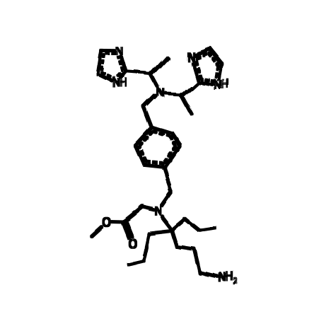 CCCC(CCC)(CCCN)N(CC(=O)OC)Cc1ccc(CN(C(C)c2ncc[nH]2)C(C)c2ncc[nH]2)cc1